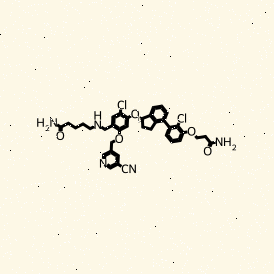 N#Cc1cncc(COc2cc(O[C@H]3CCc4c(-c5cccc(OCCC(N)=O)c5Cl)cccc43)c(Cl)cc2CNCCCCC(N)=O)c1